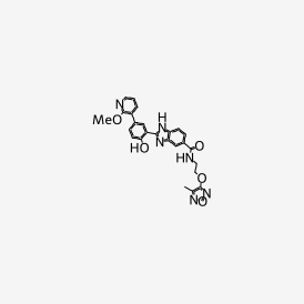 COc1ncccc1-c1ccc(O)c(-c2nc3cc(C(=O)NCCOc4nonc4C)ccc3[nH]2)c1